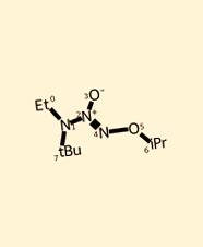 CCN([N+]([O-])=NOC(C)C)C(C)(C)C